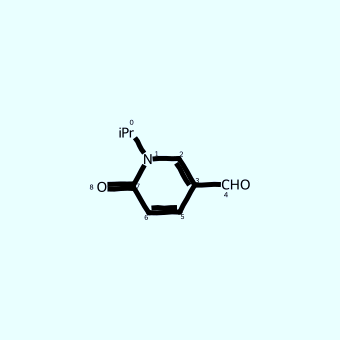 CC(C)n1cc(C=O)ccc1=O